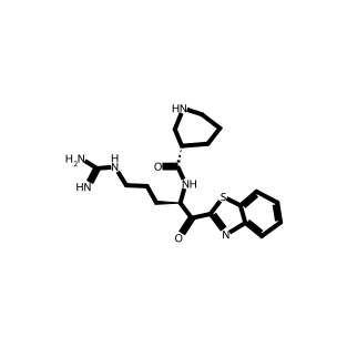 N=C(N)NCCC[C@@H](NC(=O)[C@H]1CCCNC1)C(=O)c1nc2ccccc2s1